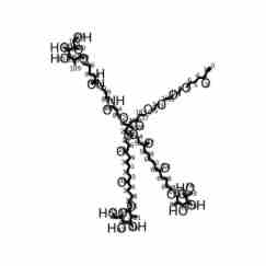 C#CC(=O)CCCOCCOCCOCCOCCC(=O)CC(COCCC(=O)CCCCCC(=O)CCCCOC1OC(CO)C(O)C(O)C1C)(COCCC(=O)CCCCCC(=O)CCCCOC1OC(CO)C(O)C(O)C1C)COCCC(=O)NCCCNC(=O)CCCCOC1OC(CO)C(O)C(O)C1C